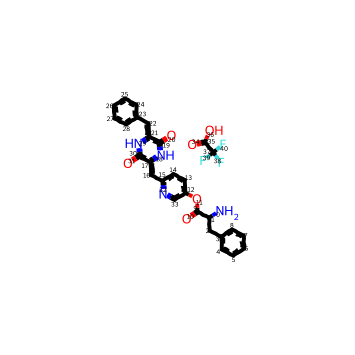 NC(Cc1ccccc1)C(=O)Oc1ccc(C=c2[nH]c(=O)c(=Cc3ccccc3)[nH]c2=O)nc1.O=C(O)C(F)(F)F